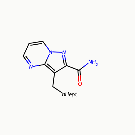 CCCCCCCCc1c(C(N)=O)nn2cccnc12